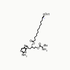 CCCCCCCC/C=C/CCCCCCCCCCCC(=O)OC[C@H](CCOC(=O)[C@@H](N)C(C)CC)Cn1cnc2cnc(N)nc21